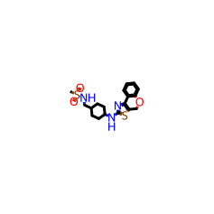 CS(=O)(=O)NCC1CCC(Nc2nc3c(s2)COc2ccccc2-3)CC1